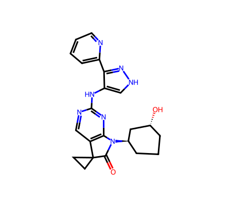 O=C1N([C@@H]2CCC[C@@H](O)C2)c2nc(Nc3c[nH]nc3-c3ccccn3)ncc2C12CC2